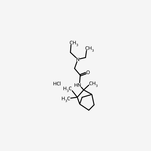 CCN(CC)CC(=O)NC1(C)C2CCC(C2)C1(C)C.Cl